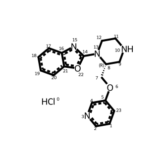 Cl.c1cncc(OC[C@H]2CNCCN2c2nc3ccccc3o2)c1